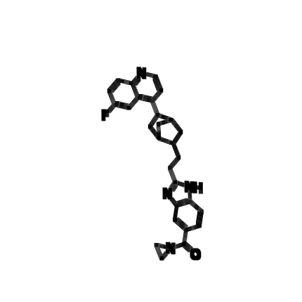 O=C(c1ccc2[nH]c(CCC3CC4CC3CC4c3ccnc4ccc(F)cc34)nc2c1)N1CC1